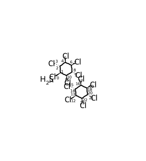 Cl[C@H]1[C@H](Cl)[C@@H](Cl)[C@@H](Cl)[C@H](Cl)[C@H]1Cl.Cl[C@H]1[C@H](Cl)[C@@H](Cl)[C@@H](Cl)[C@H](Cl)[C@H]1Cl.S